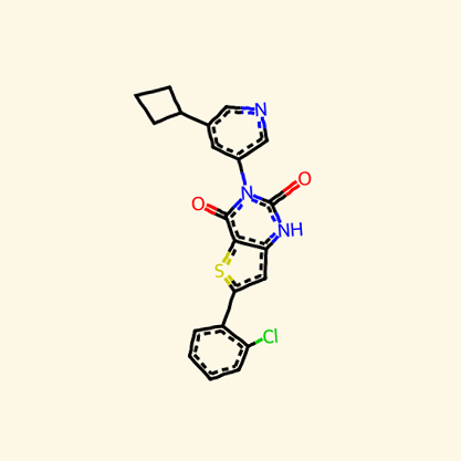 O=c1[nH]c2cc(-c3ccccc3Cl)sc2c(=O)n1-c1cncc(C2CCC2)c1